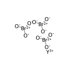 [O-][Br+2]([O-])[O-].[O-][Br+2]([O-])[O-].[O-][Br+2]([O-])[O-].[Y+3]